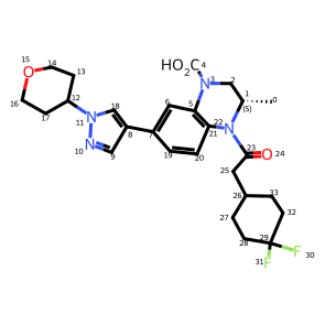 C[C@H]1CN(C(=O)O)c2cc(-c3cnn(C4CCOCC4)c3)ccc2N1C(=O)CC1CCC(F)(F)CC1